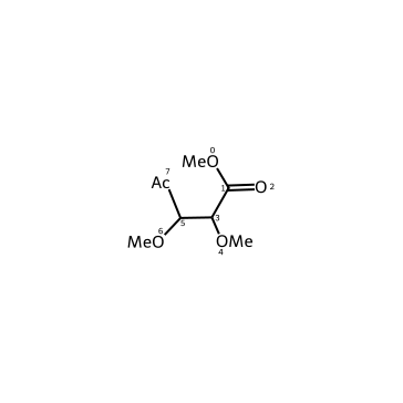 COC(=O)C(OC)C(OC)C(C)=O